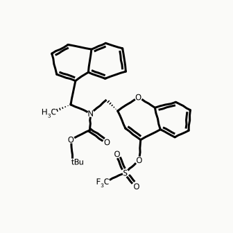 C[C@H](c1cccc2ccccc12)N(C[C@H]1C=C(OS(=O)(=O)C(F)(F)F)c2ccccc2O1)C(=O)OC(C)(C)C